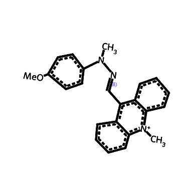 COc1ccc(N(C)/N=C/c2c3ccccc3[n+](C)c3ccccc23)cc1